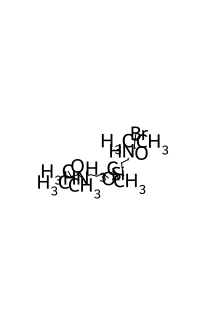 CC(C)(C)C(=O)NCCCO[Si](C)(C)CCCNC(=O)C(C)(C)Br